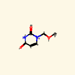 CC(C)OCn1ccc(=O)[nH]c1=O